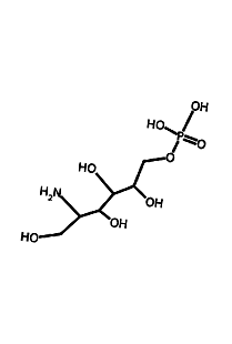 NC(CO)C(O)C(O)C(O)COP(=O)(O)O